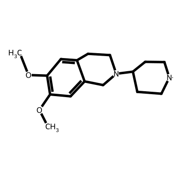 COc1cc2c(cc1OC)CN(C1CC[N]CC1)CC2